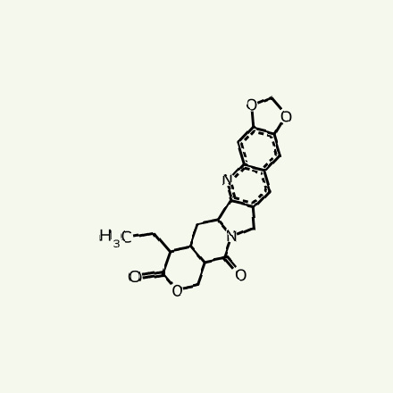 CCC1C(=O)OCC2C(=O)N3Cc4cc5cc6c(cc5nc4C3CC12)OCO6